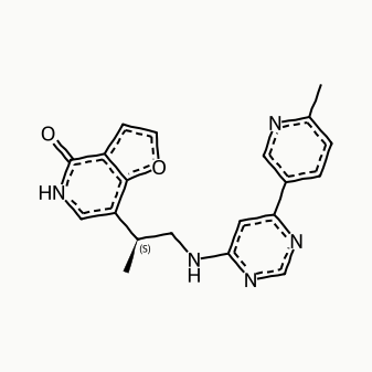 Cc1ccc(-c2cc(NC[C@@H](C)c3c[nH]c(=O)c4ccoc34)ncn2)cn1